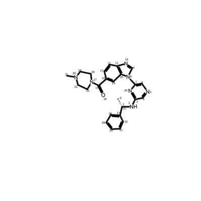 C[C@H](Nc1cncc(-n2cnc3ccc(C(=O)N4CCN(C)CC4)cc32)n1)c1ccccc1